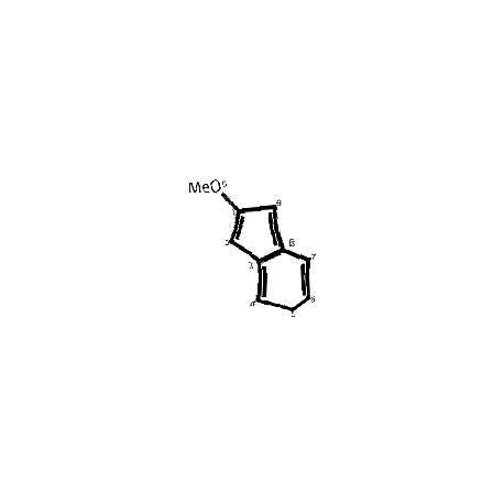 COC1=CC2=CCC=CC2=C1